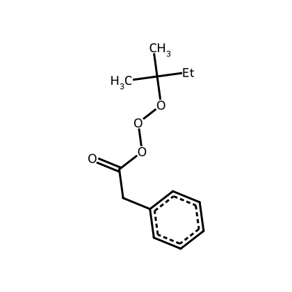 CCC(C)(C)OOOC(=O)Cc1ccccc1